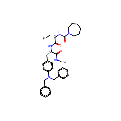 CC(C)C[C@H](NC(=O)N1CCCCCC1)C(=O)N[C@@H](Cc1ccc(N(Cc2ccccc2)Cc2ccccc2)cc1)C(=O)NC(C)(C)C